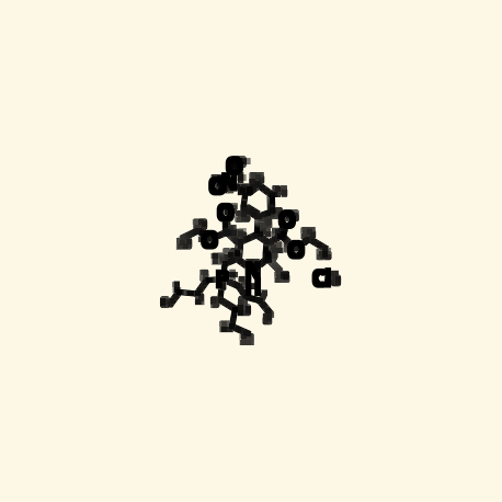 CCCC[P+](CCCC)(CCCC)CC1=C(C(=O)OCC)C(c2cccc([N+](=O)[O-])c2)C(C(=O)OCC)=C(C)N1.[Cl-]